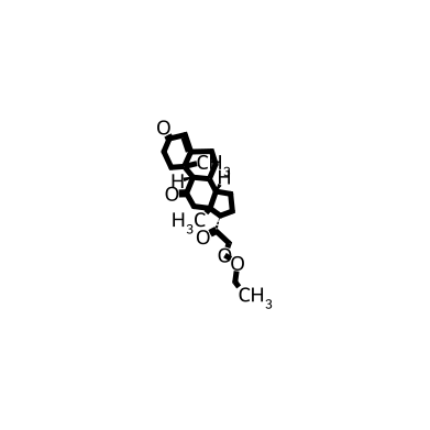 CCOOCC(=O)[C@H]1CC[C@H]2C3CCC4=CC(=O)CCC4(C)[C@H]3C(=O)CC12C